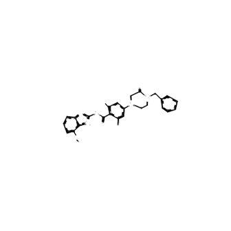 COc1cccc2sc(NC(=O)c3c(F)cc(N4CCN(Cc5ccccc5)C(=O)C4)cc3F)nc12